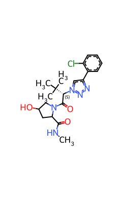 CNC(=O)C1CC(O)CN1C(=O)[C@@H](n1cc(-c2ccccc2Cl)nn1)C(C)(C)C